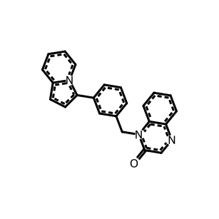 O=c1cnc2ccccc2n1Cc1cccc(-c2ccc3ccccn23)c1